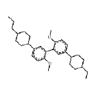 CCCC1CCC(c2ccc(OC)c(-c3cc(C4CCC(CC)CC4)ccc3OC)c2)CC1